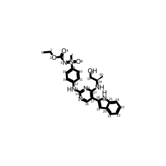 CCOC(=O)N=S(C)(=O)c1ccc(Nc2ncc(-c3cc4ccccc4[nH]3)c(N[C@H](C)CO)n2)cc1